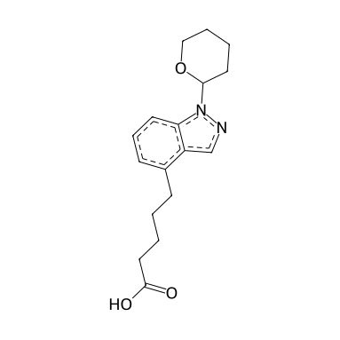 O=C(O)CCCCc1cccc2c1cnn2C1CCCCO1